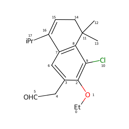 CCOc1c(CC=O)cc2c(c1Cl)C(C)(C)CC=C2C(C)C